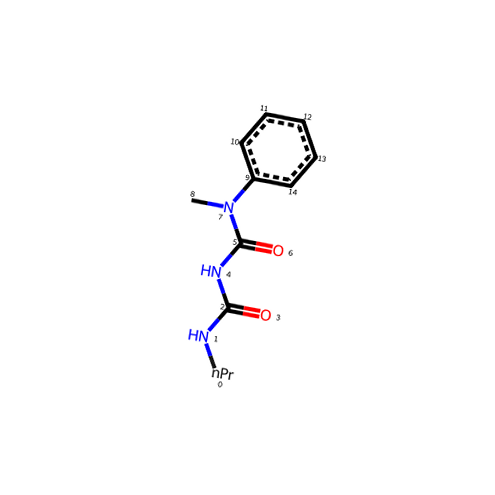 CCCNC(=O)NC(=O)N(C)c1ccccc1